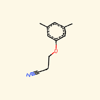 Cc1cc(C)cc(OCCC#N)c1